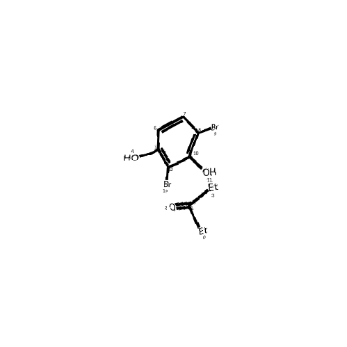 CCC(=O)CC.Oc1ccc(Br)c(O)c1Br